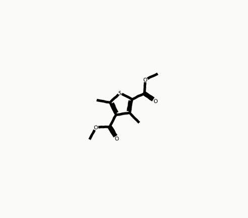 COC(=O)c1sc(C)c(C(=O)OC)c1C